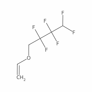 C=COCC(F)(F)C(F)(F)C(F)F